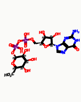 Nc1nc2c(ncn2[C@@H]2O[C@H](COP(=O)(O)OP(=O)(O)O[C@H]3O[C@H](C(=O)O)[C@@H](O)[C@H](O)[C@@H]3O)[C@@H](O)[C@H]2O)c(=O)[nH]1